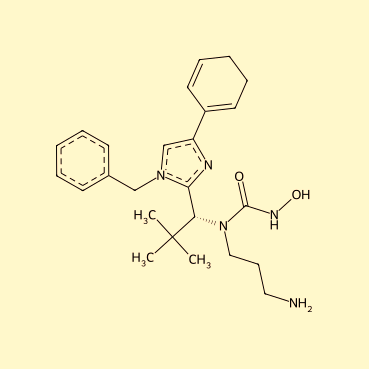 CC(C)(C)[C@H](c1nc(C2=CCCC=C2)cn1Cc1ccccc1)N(CCCN)C(=O)NO